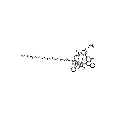 COCCOCCOCCOCCOCCOCCOCCNC1(C(=O)O)CCN(C(=O)[C@@H](CCCCN)NC(=O)[C@@H](CC(C)C)NC(=O)[C@@H](Cc2ccccc2)NC(=O)[C@H](N)Cc2ccccc2)CC1